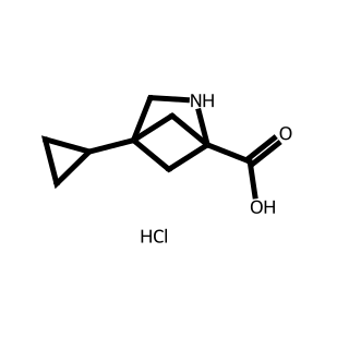 Cl.O=C(O)C12CC(C3CC3)(CN1)C2